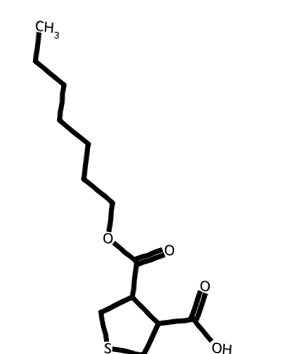 CCCCCCCOC(=O)C1CSCC1C(=O)O